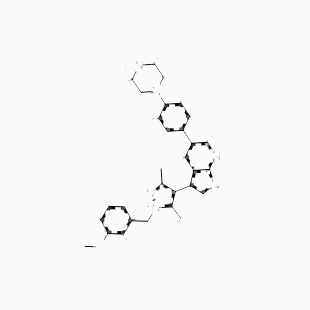 COc1cccc(Cn2nc(C)c(-c3c[nH]c4ncc(-c5ccc(N6CCNCC6)cc5)cc34)c2C)c1